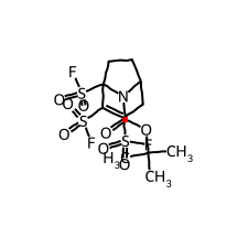 CC(C)(C)OC(=O)N1C2CCC1(S(=O)(=O)F)C(S(=O)(=O)F)=C(S(=O)(=O)F)C2